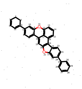 C1=CCCC(c2ccc3c(c2)Oc2cccc4c2c-3cc2oc3cc(-c5ccccc5)ccc3c24)=C1